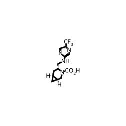 O=C(O)N1C[C@H]2C[C@H]2C[C@H]1CNc1cnc(C(F)(F)F)cn1